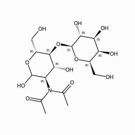 CC(=O)N(C(C)=O)[C@H]1C(O)O[C@H](CO)[C@@H](O[C@@H]2O[C@H](CO)[C@H](O)[C@H](O)[C@H]2O)[C@@H]1O